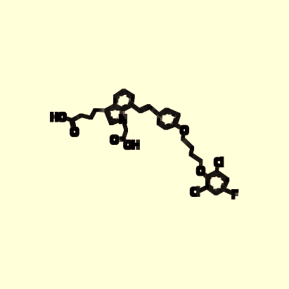 O=C(O)CCCc1cn(CC(=O)O)c2c(C=Cc3ccc(OCCCCOc4c(Cl)cc(F)cc4Cl)cc3)cccc12